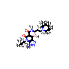 [2H]Oc1c(C(=O)N([2H])CCCN2C([2H])([2H])C([2H])([2H])C([2H])([2H])C([2H])([2H])C2([2H])[2H])c(=O)n(C([2H])(C)C([2H])([2H])[2H])c2c1nnn2[2H]